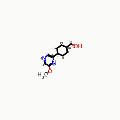 COc1cncc(C2CCC(CO)CC2)n1